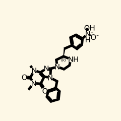 Cn1c(=O)c2c(nc(N3CCN[C@H](Cc4ccc([NH+]([O-])O)cc4)C3)n2Cc2ccccc2)n(C)c1=O